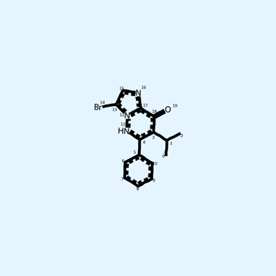 CC(C)c1c(-c2ccccc2)[nH]n2c(Br)cnc2c1=O